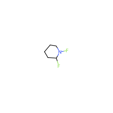 FC1CCCCN1F